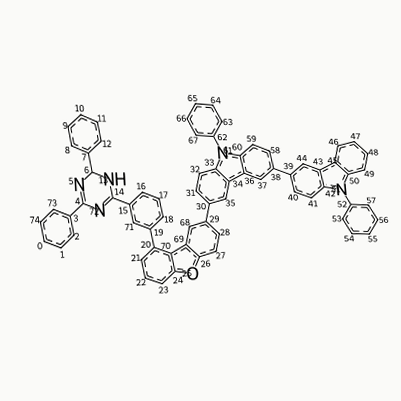 c1ccc(C2=NC(c3ccccc3)NC(c3cccc(-c4cccc5oc6ccc(-c7ccc8c(c7)c7cc(-c9ccc%10c(c9)c9ccccc9n%10-c9ccccc9)ccc7n8-c7ccccc7)cc6c45)c3)=N2)cc1